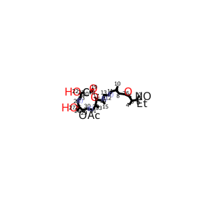 CCC(N=O)C(C)C1OC1CC(C)/C=C/C=C(\C)C1OC(=O)CC(O)/C=C/C(C)(O)C(OC(C)=O)/C=C/C1C